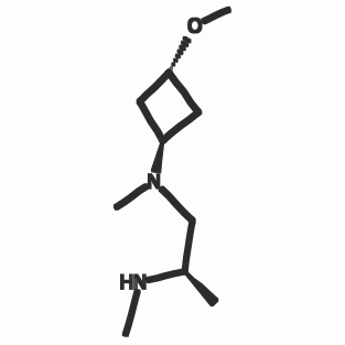 CN[C@H](C)CN(C)[C@H]1C[C@H](OC)C1